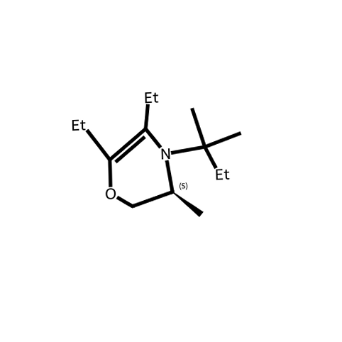 CCC1=C(CC)N(C(C)(C)CC)[C@@H](C)CO1